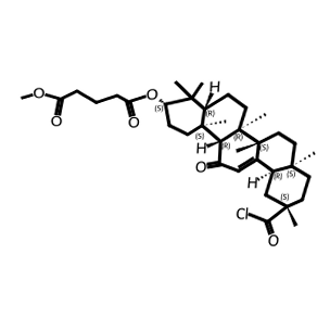 COC(=O)CCCC(=O)O[C@H]1CC[C@]2(C)[C@H]3C(=O)C=C4[C@@H]5C[C@@](C)(C(=O)Cl)CC[C@]5(C)CC[C@@]4(C)[C@]3(C)CC[C@H]2C1(C)C